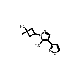 CC1(O)CC(n2ncc(-c3ccon3)c2C(F)(F)F)C1